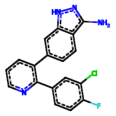 Nc1n[nH]c2cc(-c3cccnc3-c3ccc(F)c(Cl)c3)ccc12